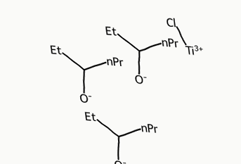 CCCC([O-])CC.CCCC([O-])CC.CCCC([O-])CC.[Cl][Ti+3]